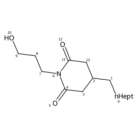 CCCCCCCCC1CC(=O)N(CCCO)C(=O)C1